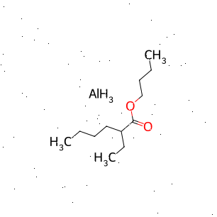 CCCCOC(=O)C(CC)CCCC.[AlH3]